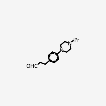 CC(C)N1CCN(c2ccc(CCC=O)cc2)CC1